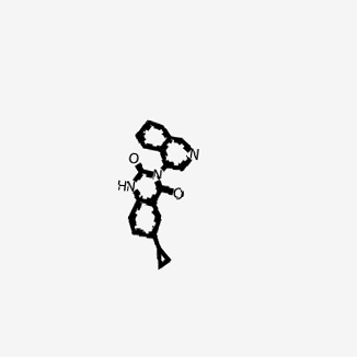 O=c1[nH]c2ccc(C3CC3)cc2c(=O)n1-c1cncc2ccccc12